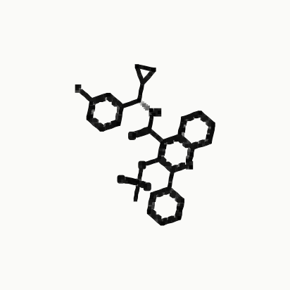 CS(=O)(=O)Oc1c(-c2ccccc2)nc2ccccc2c1C(=O)N[C@H](c1cccc(F)c1)C1CC1